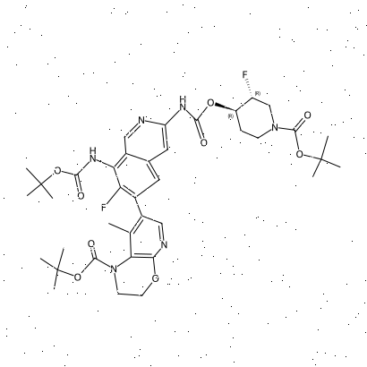 Cc1c(-c2cc3cc(NC(=O)O[C@@H]4CCN(C(=O)OC(C)(C)C)C[C@H]4F)ncc3c(NC(=O)OC(C)(C)C)c2F)cnc2c1N(C(=O)OC(C)(C)C)CCO2